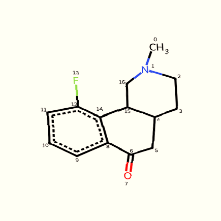 CN1CCC2CC(=O)c3cccc(F)c3C2C1